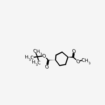 COC(=O)[C@H]1CC[C@H](C(=O)OC(C)(C)C)CC1